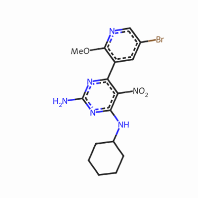 COc1ncc(Br)cc1-c1nc(N)nc(NC2CCCCC2)c1[N+](=O)[O-]